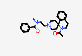 CC(=O)N1CCc2ccccc2C12CCN(CCN(C)C(=O)c1ccccc1)CC2